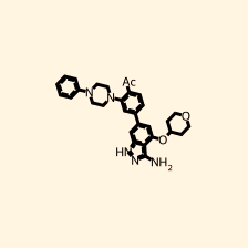 CC(=O)c1ccc(-c2cc(OC3CCOCC3)c3c(N)n[nH]c3c2)cc1N1CCN(c2ccccc2)CC1